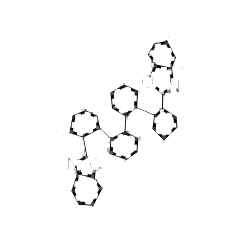 c1ccc(-c2ccccc2-c2ccccc2-c2ccccc2-c2nc3ccccc3o2)c(-c2nc3ccccc3o2)c1